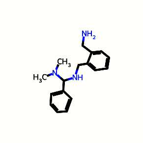 CN(C)C(NCc1ccccc1CN)c1ccccc1